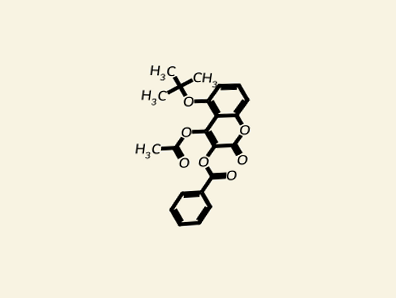 CC(=O)Oc1c(OC(=O)c2ccccc2)c(=O)oc2cccc(OC(C)(C)C)c12